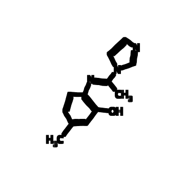 C/C(=N\c1ccc(C)cc1O)n1ccnc1